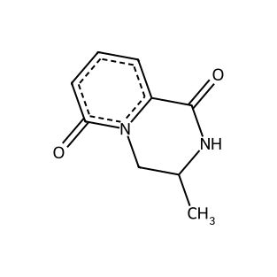 CC1Cn2c(cccc2=O)C(=O)N1